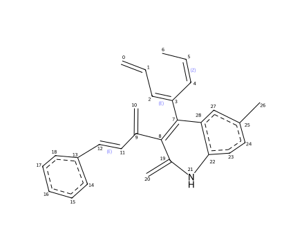 C=C/C=C(\C=C/C)C1=C(C(=C)/C=C/c2ccccc2)C(=C)Nc2ccc(C)cc21